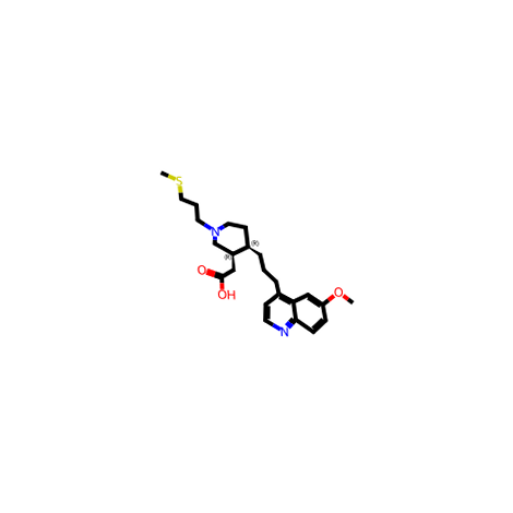 COc1ccc2nccc(CCC[C@@H]3CCN(CCCSC)C[C@@H]3CC(=O)O)c2c1